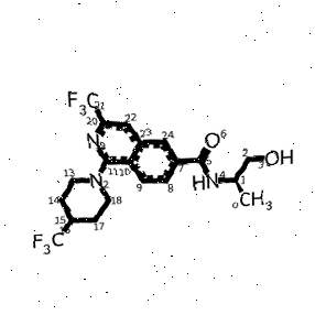 C[C@H](CO)NC(=O)c1ccc2c(N3CCC(C(F)(F)F)CC3)nc(C(F)(F)F)cc2c1